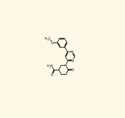 COc1cccc(-c2cc(N3CC(C(N)=O)CCC3=O)ncn2)c1